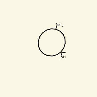 CC1(S)CCCCCCCCCCCC(N)CCCCC1